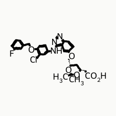 CC1(C)O[C@H](COc2ccc3ncnc(Nc4ccc(OCc5cccc(F)c5)c(Cl)c4)c3c2)C[C@H](CC(=O)O)O1